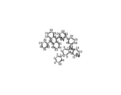 c1ccc(-c2ccc3c(c2)c2cnccc2n3-c2cccc(-c3cccc(-c4c5ccccc5c(-c5ccccc5)c5ccccc45)n3)c2)cc1